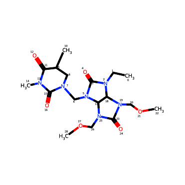 CCN1C(=O)N(CN2CC(C)C(=O)N(C)C2=O)C2C1N(COC)C(=O)N2COC